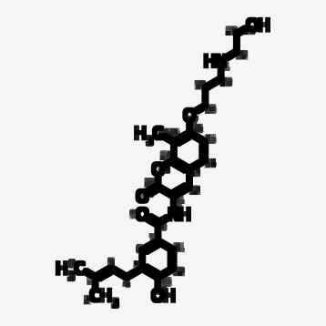 CC(C)=CCc1cc(C(=O)Nc2cc3ccc(OCCCNCCO)c(C)c3oc2=O)ccc1O